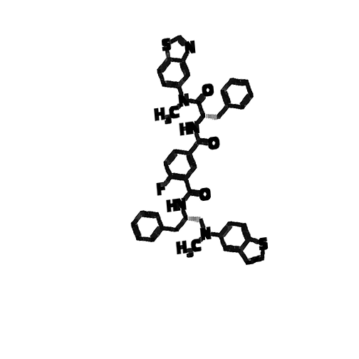 CN(C[C@H](Cc1ccccc1)NC(=O)c1cc(C(=O)N[C@@H](Cc2ccccc2)C(=O)N(C)c2ccc3scnc3c2)ccc1F)c1ccc2sccc2c1